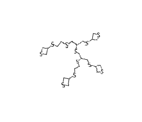 C(CSC1CSC1)SCC(CSC1CSC1)SCC(CSC1CSC1)SCCSC1CSC1